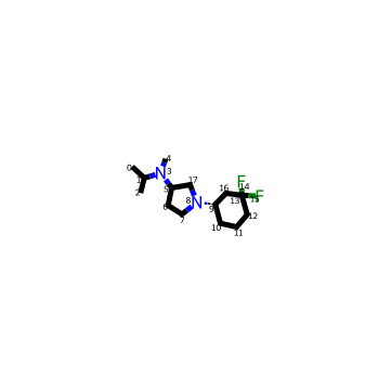 CC(C)N(C)C1CCN([C@H]2CCCC(F)(F)C2)C1